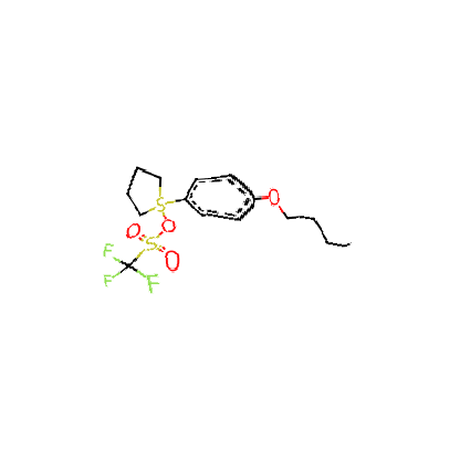 CCCCOc1ccc(S2(OS(=O)(=O)C(F)(F)F)CCCC2)cc1